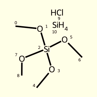 CO[Si](OC)(OC)OC.Cl.[SiH4]